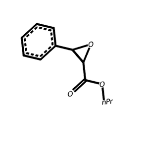 CCCOC(=O)C1OC1c1ccccc1